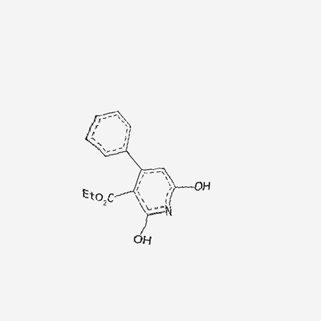 CCOC(=O)c1c(-c2ccccc2)cc(O)nc1O